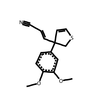 COc1ccc(C2(C=CC#N)C=CSC2)cc1OC